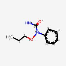 CCCON(C([NH])=O)c1ccccc1